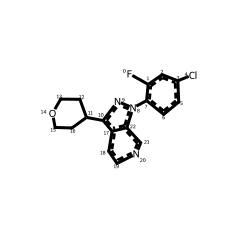 Fc1cc(Cl)ccc1-n1nc(C2CCOCC2)c2ccncc21